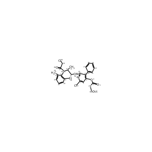 CCCCCCCCSC(=O)Oc1cc(Cl)nnc1-c1ccccc1.CCc1cccc(C)c1N(C(=O)CCl)[C@@H](C)COC